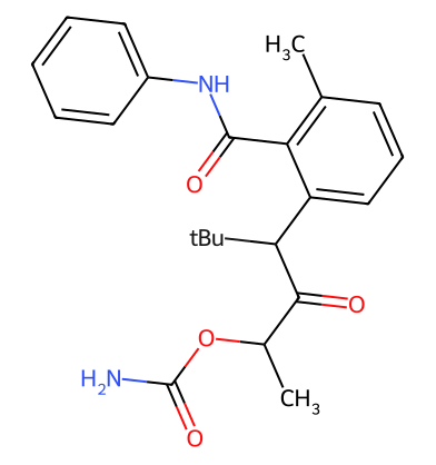 Cc1cccc(C(C(=O)C(C)OC(N)=O)C(C)(C)C)c1C(=O)Nc1ccccc1